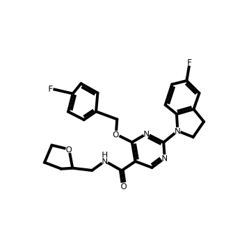 O=C(NCC1CCCO1)c1cnc(N2CCc3cc(F)ccc32)nc1OCc1ccc(F)cc1